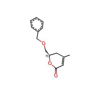 CC1=CC(=O)O[C@@H](COCc2ccccc2)C1